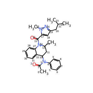 CC(=O)N(c1ccccc1)C1CC(C)N(C(=O)c2cc(CC(C)C)nn2C)c2ccccc21